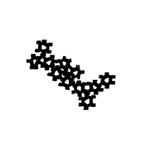 C1=CC2=C(CC1)C1(c3ccccc32)c2cc(-c3ccc(N(c4ccccc4)c4ccc(-c5ccccc5)cc4)cc3)ccc2-c2ccc(-c3ccc4c(c3)c3ccccc3n4-c3ccccc3)cc21